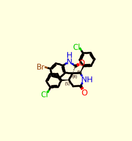 O=C1C[C@@H](c2cccc(Cl)c2)[C@]2(C(=O)Nc3cc(Br)ccc32)[C@@H](c2cccc(Cl)c2)N1